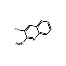 C[N]c1nc2ccccc2cc1Cl